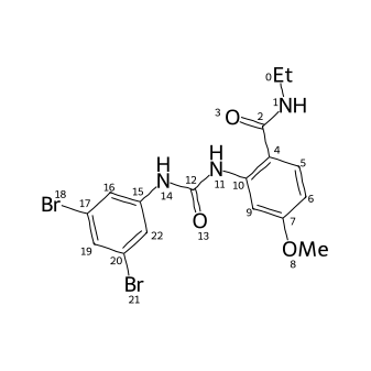 CCNC(=O)c1ccc(OC)cc1NC(=O)Nc1cc(Br)cc(Br)c1